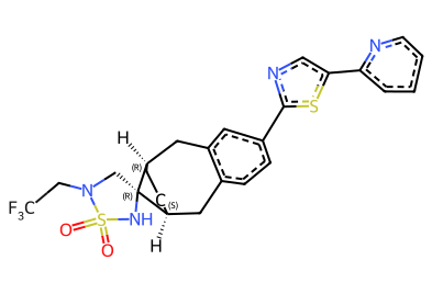 O=S1(=O)N[C@@]2(CN1CC(F)(F)F)[C@@H]1CC[C@H]2Cc2ccc(-c3ncc(-c4ccccn4)s3)cc2C1